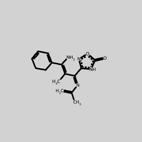 C=C(C)/N=C(\C(C)=C(/N)C1=CC=CCC1)c1noc(=O)[nH]1